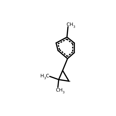 Cc1ccc(C2[CH]C2(C)C)cc1